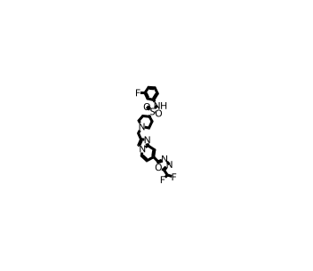 O=S(=O)(Nc1cccc(F)c1)C1CCN(Cc2cn3ccc(-c4nnc(C(F)F)o4)cc3n2)CC1